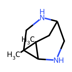 CC1(C)CC2CNC1CCN2